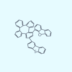 c1ccc2c(c1)-c1ccccc1-c1cc(-c3ccc4sc5ccccc5c4c3)cc(-c3cccc4c3oc3ccccc34)c1-c1ccccc1-2